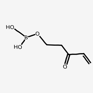 C=CC(=O)CCOB(O)O